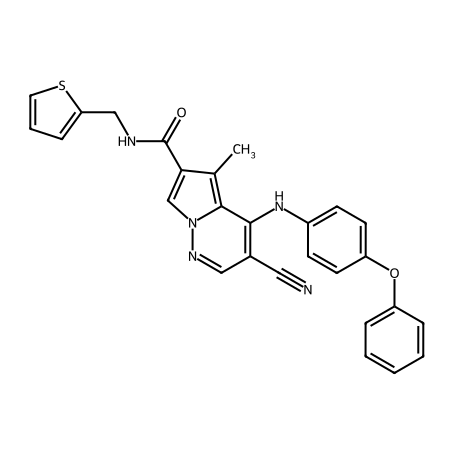 Cc1c(C(=O)NCc2cccs2)cn2ncc(C#N)c(Nc3ccc(Oc4ccccc4)cc3)c12